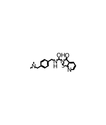 CN(C)Cc1ccc(CNC(O)n2sc3ncccc3c2=O)cc1